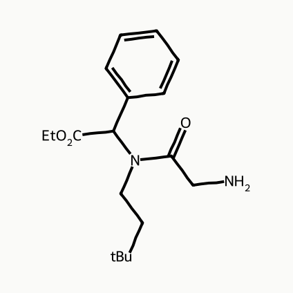 CCOC(=O)C(c1ccccc1)N(CCC(C)(C)C)C(=O)CN